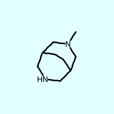 CN1CC2CCC(CNC2)C1